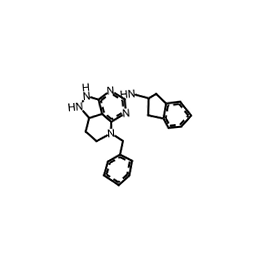 c1ccc(CN2CCC3NNc4nc(NC5Cc6ccccc6C5)nc2c43)cc1